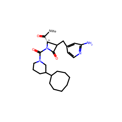 CNC(=O)[C@@H]1C(Cc2ccnc(N)c2)C(=O)N1C(=O)N1CCCC(C2CCCCCCC2)C1